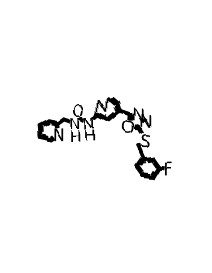 O=C(NCc1ccccn1)Nc1cc(-c2nnc(SCc3cccc(F)c3)o2)ccn1